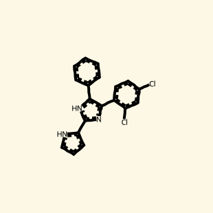 Clc1ccc(-c2nc(-c3ccc[nH]3)[nH]c2-c2ccccc2)c(Cl)c1